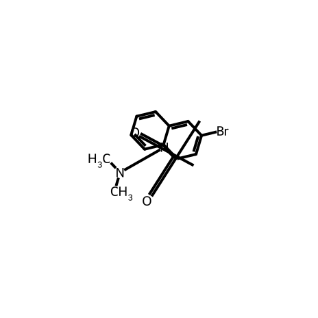 CN(C)N1C(=O)CC2C=C(Br)C=C3C=CC=CC32C1=O